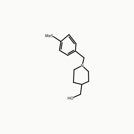 CSc1ccc(CN2CCC(CO)CC2)cc1